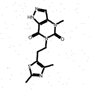 Cc1nc(C)c(CCn2c(=O)c3[nH]ncc3n(C)c2=O)s1